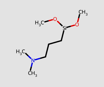 CO[Si](CCCN(C)C)OC